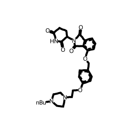 CCCCN1CCN(CCOc2ccc(COc3cccc4c3C(=O)N(C3CCC(=O)NC3=O)C4=O)cc2)CC1